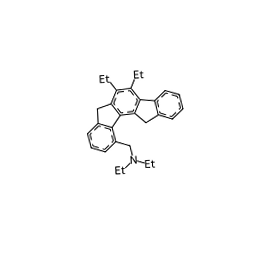 CCc1c(CC)c2c(c3c1Cc1cccc(CN(CC)CC)c1-3)Cc1ccccc1-2